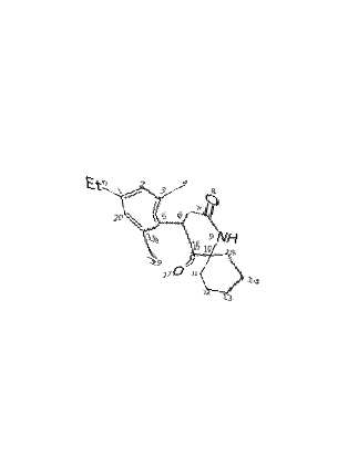 CCc1cc(C)c(C2C(=O)NC3(CCCCC3)C2=O)c(C)c1